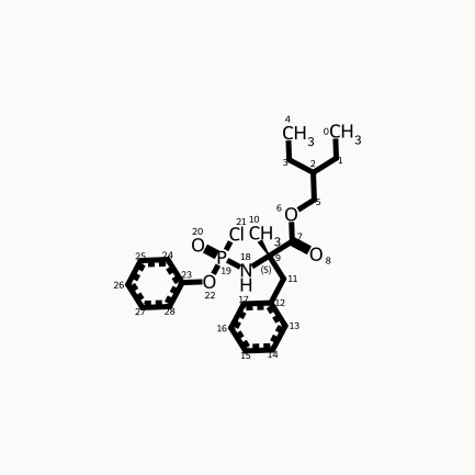 CCC(CC)COC(=O)[C@](C)(Cc1ccccc1)NP(=O)(Cl)Oc1ccccc1